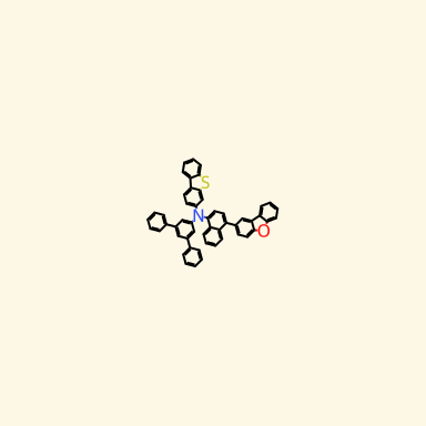 c1ccc(-c2cc(-c3ccccc3)cc(N(c3ccc4c(c3)sc3ccccc34)c3ccc(-c4ccc5oc6ccccc6c5c4)c4ccccc34)c2)cc1